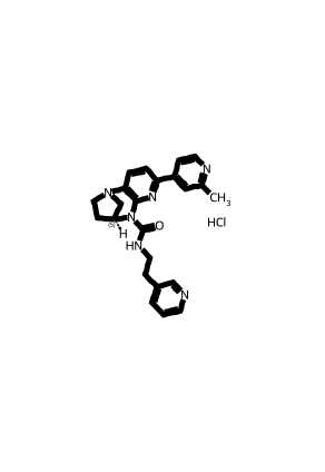 Cc1cc(-c2ccc3c(n2)N(C(=O)NCCc2cccnc2)[C@H]2CCN3C2)ccn1.Cl